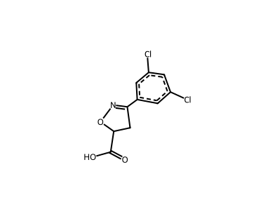 O=C(O)C1CC(c2cc(Cl)cc(Cl)c2)=NO1